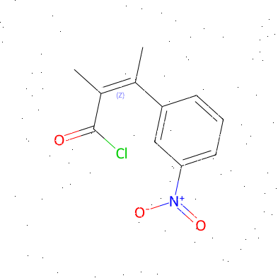 C/C(C(=O)Cl)=C(\C)c1cccc([N+](=O)[O-])c1